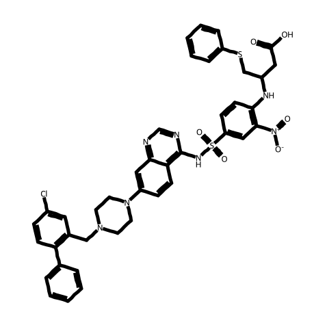 O=C(O)CC(CSc1ccccc1)Nc1ccc(S(=O)(=O)Nc2ncnc3cc(N4CCN(Cc5cc(Cl)ccc5-c5ccccc5)CC4)ccc23)cc1[N+](=O)[O-]